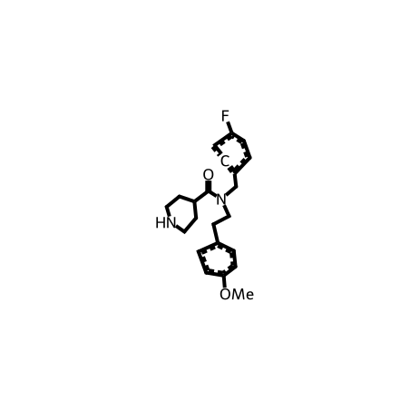 COc1ccc(CCN(Cc2ccc(F)cc2)C(=O)C2CCNCC2)cc1